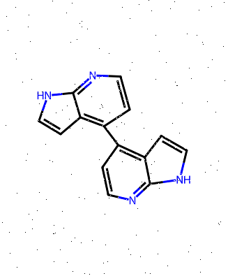 c1cc(-c2ccnc3[nH]ccc23)c2cc[nH]c2n1